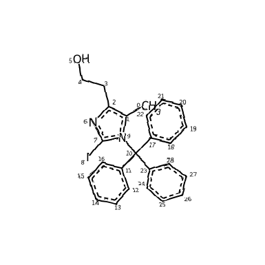 Cc1c(CCO)nc(I)n1C(c1ccccc1)(c1ccccc1)c1ccccc1